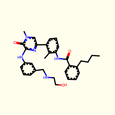 CCCCc1ccccc1C(=O)Nc1cccc(-c2cn(C)c(=O)c(Nc3cccc(CNCCO)c3)n2)c1C